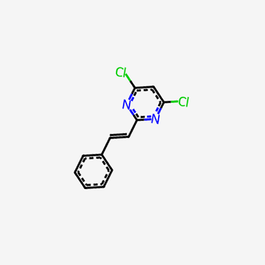 Clc1cc(Cl)nc(/C=C/c2ccccc2)n1